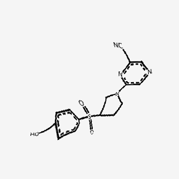 N#Cc1cncc(N2CCC(S(=O)(=O)c3ccc(O)cc3)C2)n1